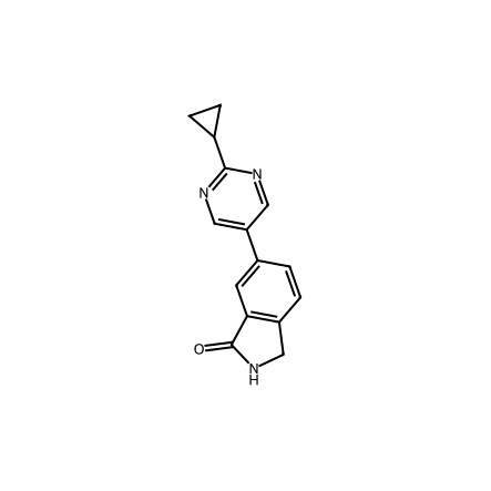 O=C1NCc2ccc(-c3cnc(C4CC4)nc3)cc21